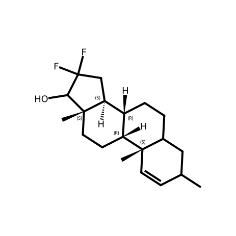 CC1C=C[C@@]2(C)C(CC[C@@H]3[C@H]2CC[C@]2(C)C(O)C(F)(F)C[C@@H]32)C1